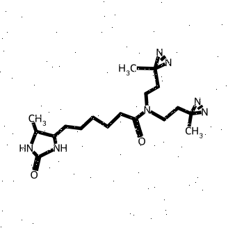 CC1NC(=O)NC1CCCCCC(=O)N(CCC1(C)N=N1)CCC1(C)N=N1